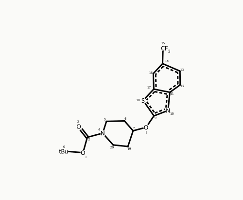 CC(C)(C)OC(=O)N1CCC(Oc2nc3ccc(C(F)(F)F)cc3s2)CC1